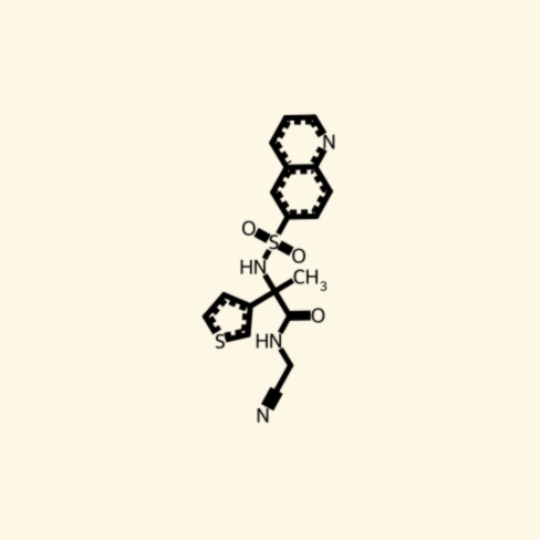 CC(NS(=O)(=O)c1ccc2ncccc2c1)(C(=O)NCC#N)c1ccsc1